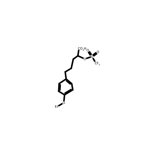 CCOc1ccc(CCCC(OS(=O)(=O)C(F)(F)F)C(=O)O)cc1